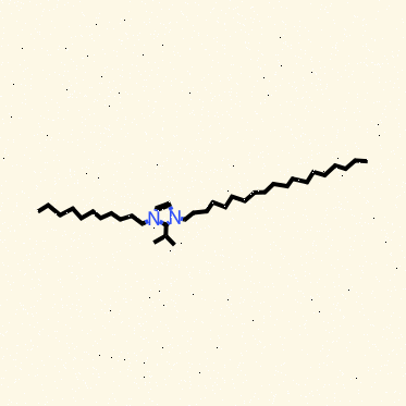 CCCCCCCCCCCCCCCCCCCN1C=CN(CCCCCCCCCCC)C1C(C)C